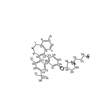 Cc1ccc2c(c1)CCCC(c1ccc(C(C)(C)C)cc1C)=C2c1ccc(OC2CCN(CCCF)C2)cc1